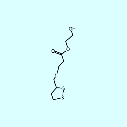 O=C(CCCCC1CCSS1)OCCO